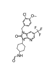 COc1ccc(Cn2c(=O)n(C3CCC(NC=O)CC3)c3ncc(C(F)(F)F)cc32)cc1Cl